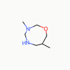 CC1CNCN(C)COC1